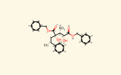 CC[C@H](C[C@@](O)(C(=O)OCc1ccccc1)[C@@H]([C@@H](O)C(=O)OCc1ccccc1)[N+](=O)[O-])c1ccccc1